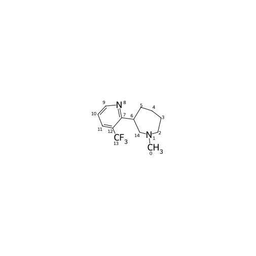 CN1CCCCC(c2ncccc2C(F)(F)F)C1